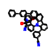 N#Cc1cccc(-c2cccc3c4cccc(-c5cccc(C#N)c5)c4n(-c4cccc5c4C(=O)N(c4cc(-c6ccccc6)ccc4-c4ccccc4)C5=O)c23)c1